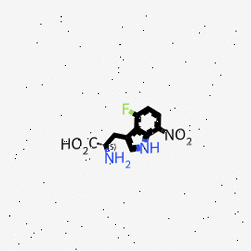 N[C@@H](Cc1c[nH]c2c([N+](=O)[O-])ccc(F)c12)C(=O)O